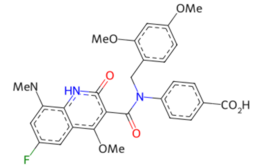 CNc1cc(F)cc2c(OC)c(C(=O)N(Cc3ccc(OC)cc3OC)c3ccc(C(=O)O)cc3)c(=O)[nH]c12